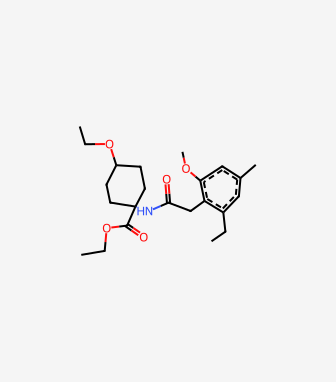 CCOC(=O)C1(NC(=O)Cc2c(CC)cc(C)cc2OC)CCC(OCC)CC1